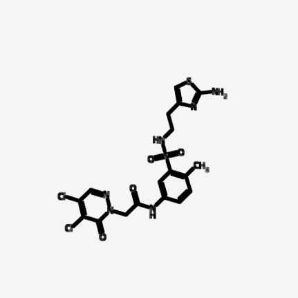 Cc1ccc(NC(=O)Cn2ncc(Cl)c(Cl)c2=O)cc1S(=O)(=O)NCCc1csc(N)n1